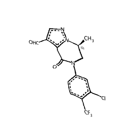 C[C@H]1CN(c2ccc(C(F)(F)F)c(Cl)c2)C(=O)c2c(C=O)cnn21